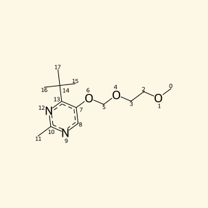 COCCOCOc1cnc(C)nc1C(C)(C)C